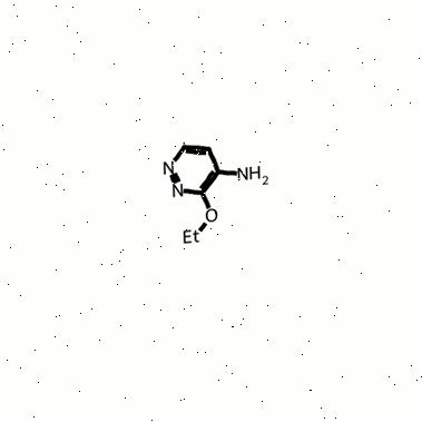 CCOc1nn[c]cc1N